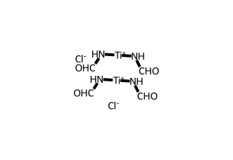 O=C[NH][Ti+][NH]C=O.O=C[NH][Ti+][NH]C=O.[Cl-].[Cl-]